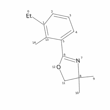 CCc1cccc(C2=NC(C)(C)CO2)c1C